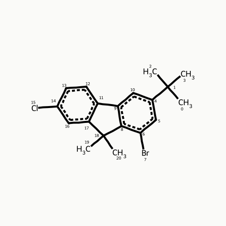 CC(C)(C)c1cc(Br)c2c(c1)-c1ccc(Cl)cc1C2(C)C